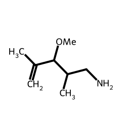 C=C(C)C(OC)C(C)CN